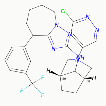 FC(F)(F)c1cccc(C2CCCCn3nc(NC4[C@@H]5CC[C@H]4CN(c4cnnc(Cl)c4)C5)nc32)c1